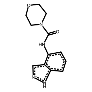 O=C(Nc1cccc2[nH]ncc12)N1CCOCC1